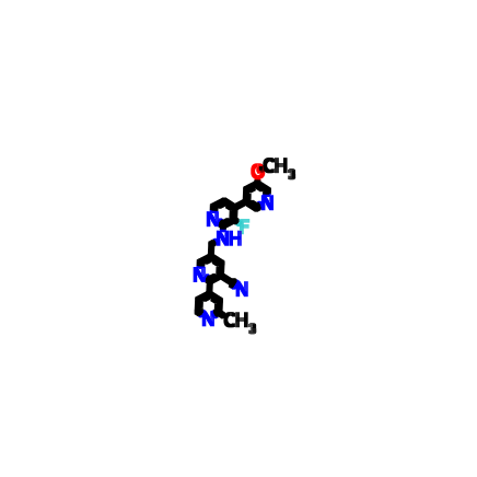 COc1cncc(-c2ccnc(NCc3cnc(-c4ccnc(C)c4)c(C#N)c3)c2F)c1